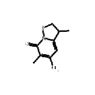 Cc1c(C(F)(F)F)cc2n(c1=O)SCC2C